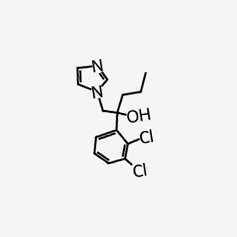 CCCC(O)(Cn1ccnc1)c1cccc(Cl)c1Cl